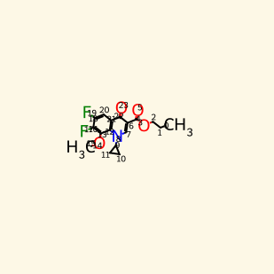 CCCOC(=O)c1cn(C2CC2)c2c(OC)c(F)c(F)cc2c1=O